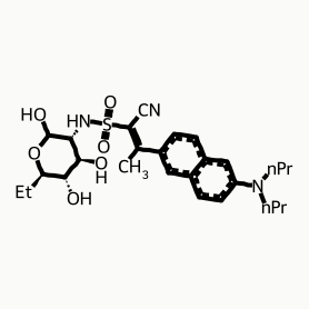 CCCN(CCC)c1ccc2cc(/C(C)=C(\C#N)S(=O)(=O)N[C@H]3C(O)O[C@H](CC)[C@@H](O)[C@@H]3O)ccc2c1